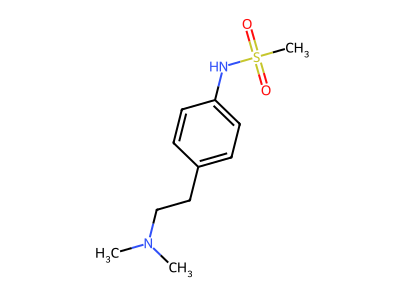 CN(C)CCc1ccc(NS(C)(=O)=O)cc1